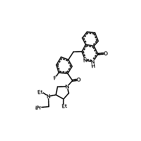 CCC1CN(C(=O)c2cc(Cc3n[nH]c(=O)c4ccccc34)ccc2F)CC1N(CC)CC(C)C